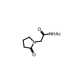 CC(=O)NC(=O)CN1CCCC1=O